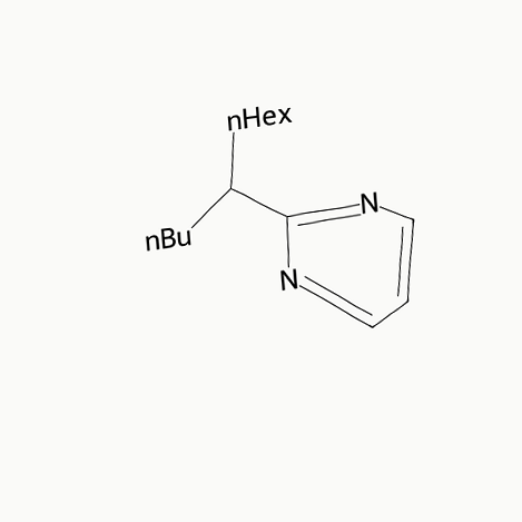 CCCCCCC(CCCC)c1ncccn1